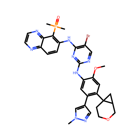 COc1cc(C23CCOCC2C3)c(-c2cnn(C)c2)cc1Nc1ncc(Br)c(Nc2ccc3nccnc3c2P(C)(C)=O)n1